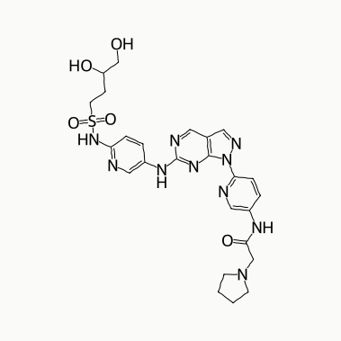 O=C(CN1CCCC1)Nc1ccc(-n2ncc3cnc(Nc4ccc(NS(=O)(=O)CCC(O)CO)nc4)nc32)nc1